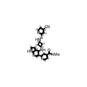 CNC(=O)c1ccnc(-c2cnc3[nH]ccc3c2N[C@H]2C[C@@H](NSc3cc(C#N)ccn3)C2)c1